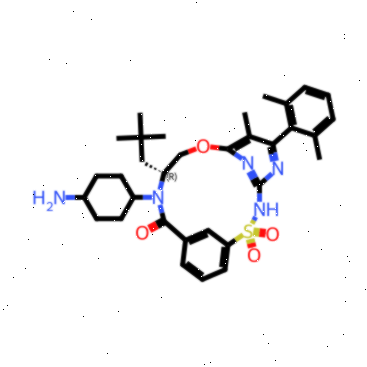 Cc1cccc(C)c1-c1nc2nc(c1C)OC[C@@H](CC(C)(C)C)N(C1CCC(N)CC1)C(=O)c1cccc(c1)S(=O)(=O)N2